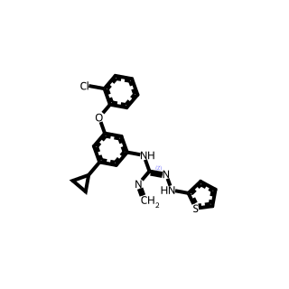 C=N/C(=N\Nc1cccs1)Nc1cc(Oc2ccccc2Cl)cc(C2CC2)c1